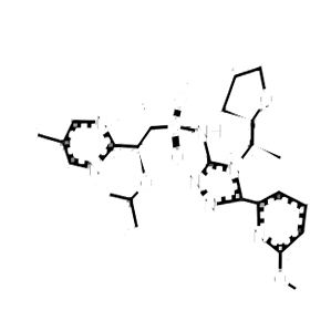 COc1cccc(-c2nnc(NS(=O)(=O)[C@@H](C)[C@@H](OC(C)C)c3ncc(C)cn3)n2[C@H](C)[C@H]2CCCO2)n1